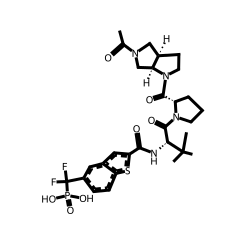 CC(=O)N1C[C@H]2CCN(C(=O)[C@@H]3CCCN3C(=O)[C@@H](NC(=O)c3cc4cc(C(F)(F)P(=O)(O)O)ccc4s3)C(C)(C)C)[C@H]2C1